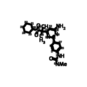 CNC(=O)Nc1ccc(-c2nc(N)cc(C(C)(C)S(=O)(=O)C3CCCCC3)n2)cc1